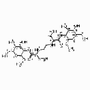 COC1O[C@H](CO)[C@@H](O)[C@H](O)C1NC(=O)[C@H](CS)NCCN[C@@H](CS)C(=O)NC1C(OC)O[C@H](CO)[C@@H](O)[C@@H]1O